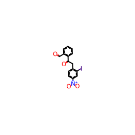 O=Cc1ccccc1C(=O)Cc1ccc([N+](=O)[O-])cc1I